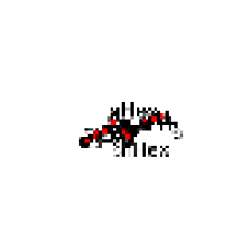 CCCCCCc1ccc(N(c2ccc(-c3ccc(C(C)(C)c4ccccc4)cc3)cc2)c2c3ccccc3c(N(c3ccc(CCCCCC)cc3)c3ccc(-c4ccc(C(C)(C)c5ccccc5)cc4)cc3)c3ccccc23)cc1